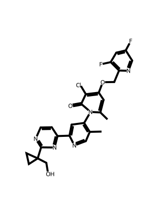 Cc1cnc(-c2ccnc(C3(CO)CC3)n2)cc1-n1c(C)cc(OCc2ncc(F)cc2F)c(Cl)c1=O